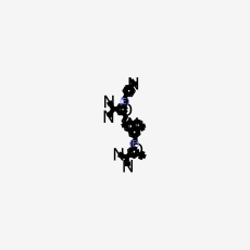 CN(C)c1ccc(/C=C/C2=CC(=C(C#N)C#N)C=C(CCC3(C)Cc4cc(/C=C/C5=CC(=C(C#N)C#N)C=C(C(C)(C)C)O5)cc5c4N(CCC5(C)C)C3)O2)cc1